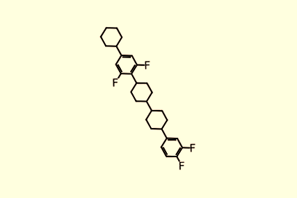 Fc1ccc(C2CCC(C3CCC(c4c(F)cc(C5CCCCC5)cc4F)CC3)CC2)cc1F